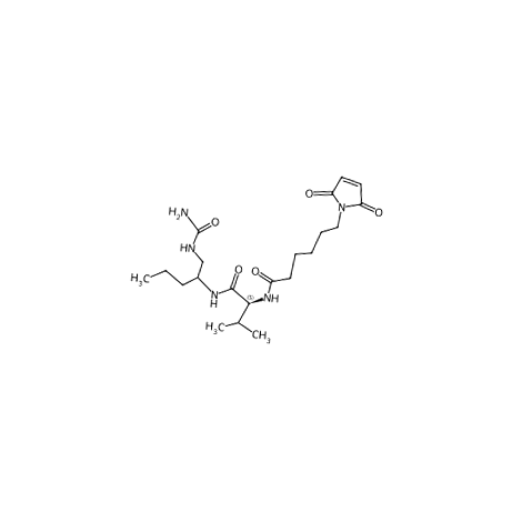 CCCC(CNC(N)=O)NC(=O)[C@@H](NC(=O)CCCCCN1C(=O)C=CC1=O)C(C)C